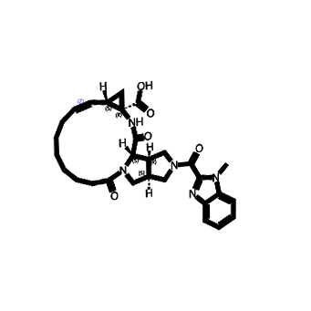 Cn1c(C(=O)N2C[C@H]3CN4C(=O)CCCCCC/C=C\[C@@H]5C[C@@]5(C(=O)O)NC(=O)[C@@H]4[C@H]3C2)nc2ccccc21